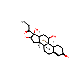 CC(=O)OCC(=O)[C@@]1(O)C(O)C[C@H]2[C@@H]3CCC4=CC(=O)CC[C@]4(C)[C@@]3(Br)C(O)C[C@@]21C